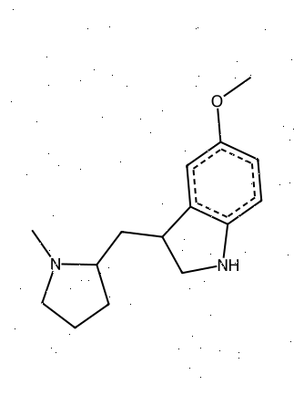 COc1ccc2c(c1)C(CC1CCCN1C)CN2